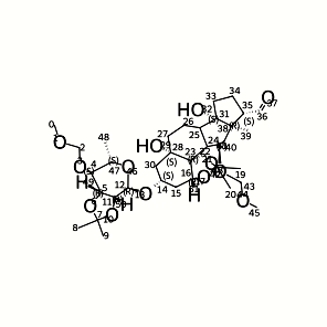 COCO[C@@H]1[C@H]2OC(C)(C)O[C@H]2[C@H](O[C@H]2C[C@H]3OC(C)(C)OC[C@]34C3C(CC[C@]4(O)C2)[C@@]2(O)CC[C@H](C=O)[C@@]2(C)C[C@H]3OCOC)O[C@H]1C